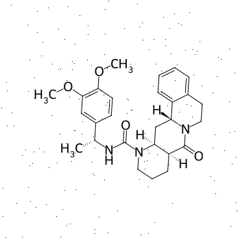 COc1ccc([C@@H](C)NC(=O)N2CCC[C@@H]3C(=O)N4CCc5ccccc5[C@H]4C[C@@H]32)cc1OC